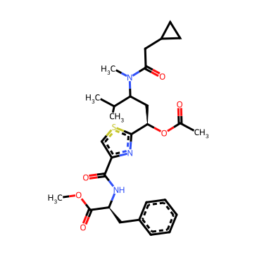 COC(=O)[C@H](Cc1ccccc1)NC(=O)c1csc([C@@H](CC(C(C)C)N(C)C(=O)CC2CC2)OC(C)=O)n1